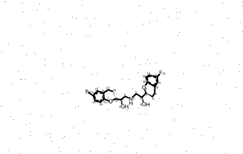 O[C@H](CNC[C@H](O)[C@@H]1CCc2cc(F)ccc2O1)[C@H]1CCc2cc(F)ccc2O1